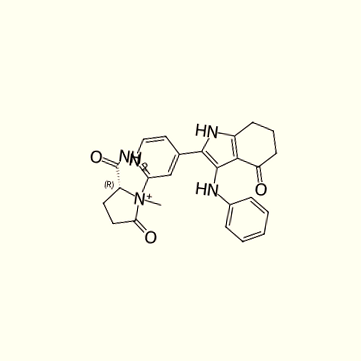 C[N+]1(c2cc(-c3[nH]c4c(c3Nc3ccccc3)C(=O)CCC4)ccn2)C(=O)CC[C@@H]1C(N)=O